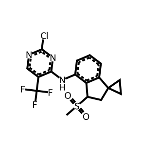 CS(=O)(=O)C1CC2(CC2)c2cccc(Nc3nc(Cl)ncc3C(F)(F)F)c21